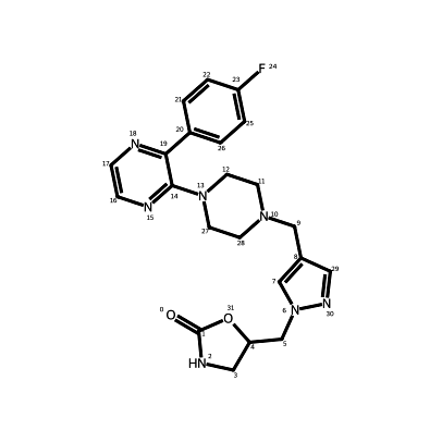 O=C1NCC(Cn2cc(CN3CCN(c4nccnc4-c4ccc(F)cc4)CC3)cn2)O1